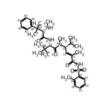 CN[C@H](C(=O)N[C@H](C(=O)N(C)[C@H](/C=C(\C)C(=O)NS(=O)(=O)c1ccccc1C)C(C)C)C(C)(C)C)C(C)(C)c1ccccc1